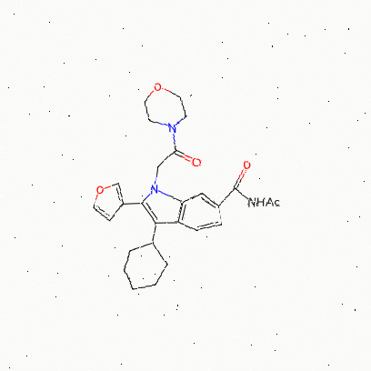 CC(=O)NC(=O)c1ccc2c(C3CCCCC3)c(-c3ccoc3)n(CC(=O)N3CCOCC3)c2c1